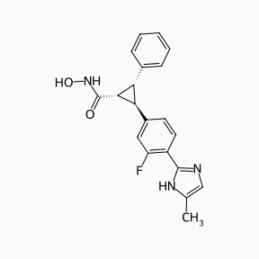 Cc1cnc(-c2ccc([C@H]3[C@H](C(=O)NO)[C@@H]3c3ccccc3)cc2F)[nH]1